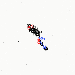 C[C@H]1CC[C@@]2(OC1)O[C@H]1C[C@H]3[C@@H]4CC[C@@H]5CC(CCNC(=O)CC(=O)N6CCC(N7CCCCC7)CC6)CC[C@]5(C)[C@H]4CC[C@]3(C)[C@H]1[C@@H]2C